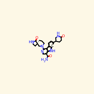 NC(=O)c1cnc(N2CCC[C@@]3(CCNC3=O)C2)c2c1[nH]c1cc(C3CCC(=O)NC3)ccc12